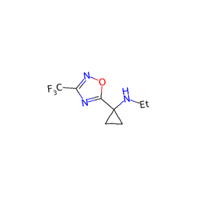 CCNC1(c2nc(C(F)(F)F)no2)CC1